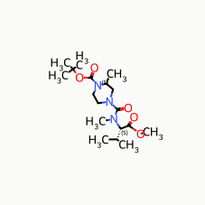 COC(=O)[C@H](C(C)C)N(C)C(=O)N1CCN(C(=O)OC(C)(C)C)[C@@H](C)C1